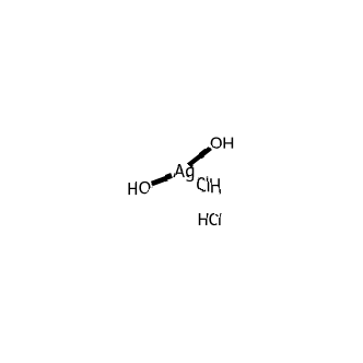 Cl.Cl.[OH][Ag][OH]